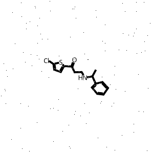 CC(NCCC(=O)c1ccc(Cl)s1)c1ccccc1